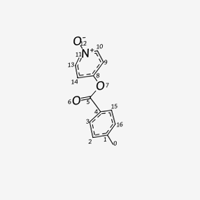 Cc1ccc(C(=O)Oc2cc[n+]([O-])cc2)cc1